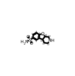 NS(=O)(=O)c1ccc2c(c1)C1CCNCC1O2